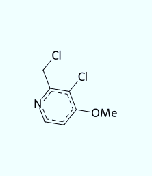 COc1ccnc(CCl)c1Cl